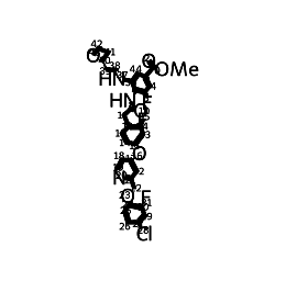 COC(=O)c1cc(F)c(NC(=O)Cc2ccc(Oc3ccnc(COc4ccc(Cl)cc4F)c3)cc2F)c(NCC[C@@H]2CCO2)c1